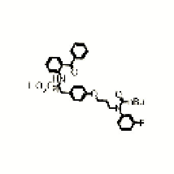 CCCCC(=O)N(CCCOc1ccc(C[C@H](Nc2ccccc2C(=O)c2ccccc2)C(=O)O)cc1)c1cccc(F)c1